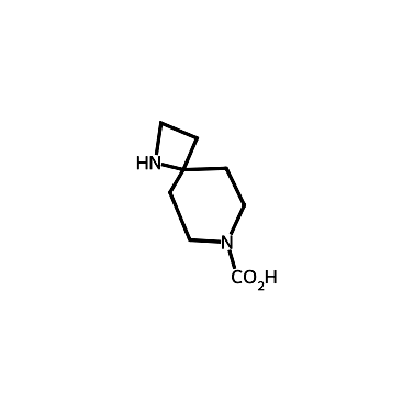 O=C(O)N1CCC2(CCN2)CC1